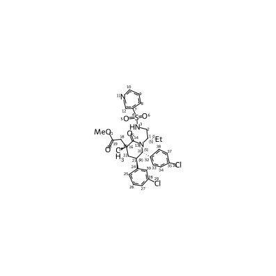 CC[C@@H](CNS(=O)(=O)c1cccnc1)N1C(=O)[C@@](C)(CC(=O)OC)C[C@H](c2cccc(Cl)c2)[C@H]1c1ccc(Cl)cc1